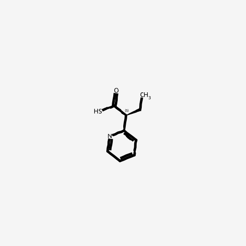 CC[C@H](C(=O)S)c1ccccn1